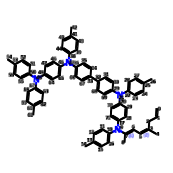 C=CC/C(C)=C\C=C(/C)N(c1ccc(C)cc1)c1ccc(N(c2ccc(C)cc2)c2ccc(-c3ccc(N(c4ccc(C)cc4)c4ccc(N(c5ccc(C)cc5)c5ccc(C)cc5)cc4)cc3)cc2)cc1